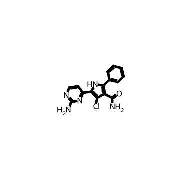 NC(=O)c1c(-c2ccccc2)[nH]c(-c2ccnc(N)n2)c1Cl